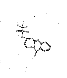 O=c1c2ccccc2oc2cc(OS(=O)(=O)C(F)(F)F)ccc12